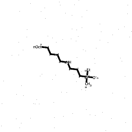 CCCCCCCCCCCCNCCC[N+](C)([O-])CC